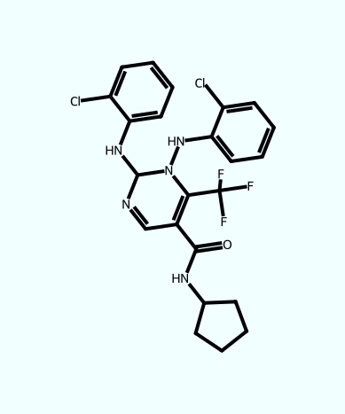 O=C(NC1CCCC1)C1=C(C(F)(F)F)N(Nc2ccccc2Cl)C(Nc2ccccc2Cl)N=C1